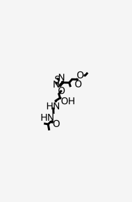 CCOC(=O)CC(C)c1nsnc1OCC(O)CNCCNC(=O)C(C)C